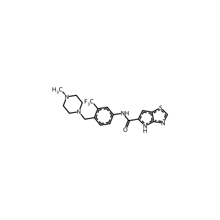 CN1CCN(Cc2ccc(NC(=O)c3cc4scnc4[nH]3)cc2C(F)(F)F)CC1